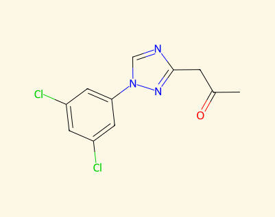 CC(=O)Cc1ncn(-c2cc(Cl)cc(Cl)c2)n1